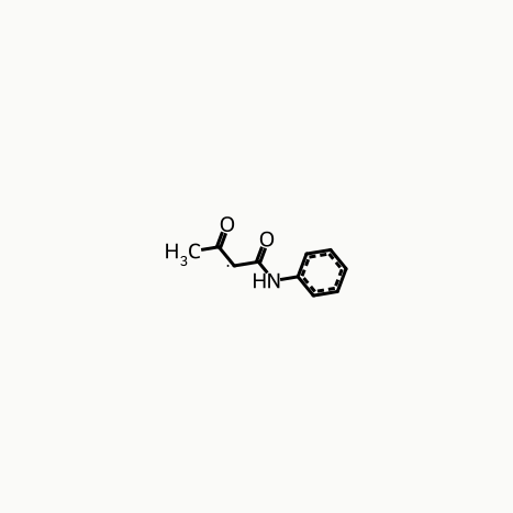 CC(=O)[CH]C(=O)Nc1ccccc1